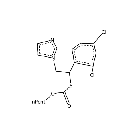 CCCCCOC(=O)SC(Cn1ccnc1)c1ccc(Cl)cc1Cl